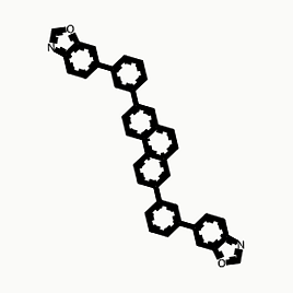 c1cc(-c2ccc3c(ccc4cc(-c5cccc(-c6ccc7ncoc7c6)c5)ccc43)c2)cc(-c2ccc3ncoc3c2)c1